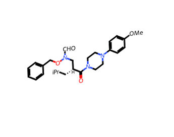 COc1ccc(N2CCN(C(=O)[C@H](CC(C)C)CN(C=O)OCc3ccccc3)CC2)cc1